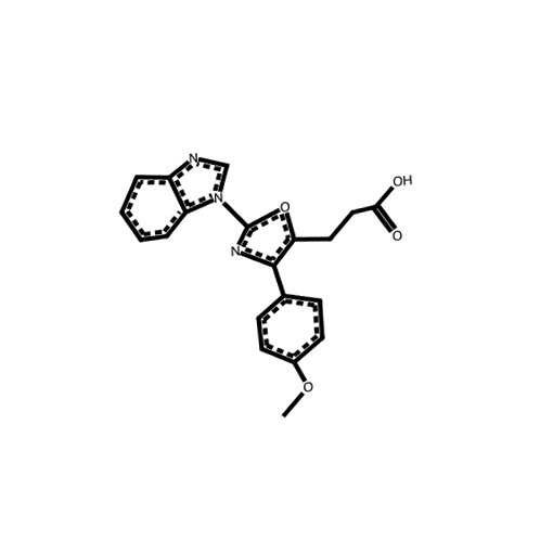 COc1ccc(-c2nc(-n3cnc4ccccc43)oc2CCC(=O)O)cc1